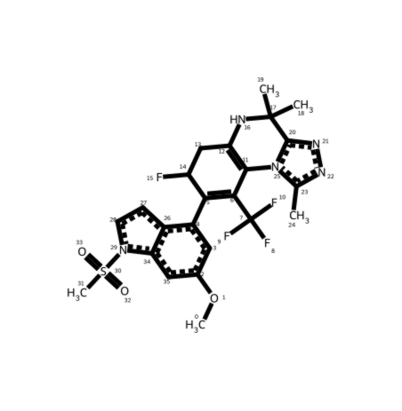 COc1cc(C2=C(C(F)(F)F)C3=C(CC2F)NC(C)(C)c2nnc(C)n23)c2ccn(S(C)(=O)=O)c2c1